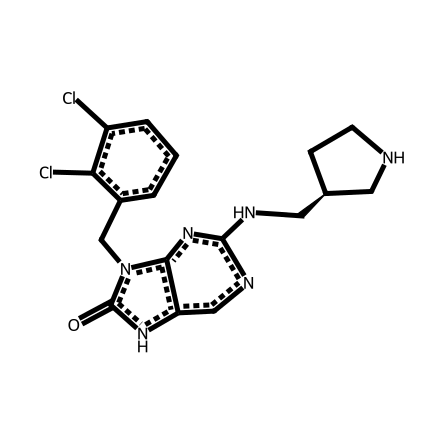 O=c1[nH]c2cnc(NC[C@H]3CCNC3)nc2n1Cc1cccc(Cl)c1Cl